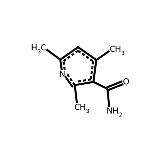 Cc1cc(C)c(C(N)=O)c(C)n1